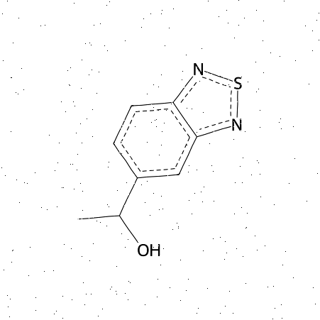 CC(O)c1ccc2nsnc2c1